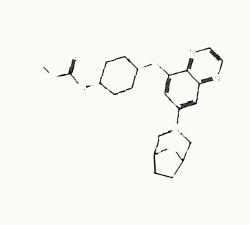 CC(C)(C)OC(=O)N[C@H]1CC[C@@H](Nc2cc(N3CC4CCC(C3)O4)cc3nccnc23)CC1